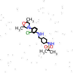 CC(C)S(=O)(=O)NC1CCC(CNc2ccc(N3C[C@@H](C)O[C@@H](C)C3)c(Cl)c2)CC1